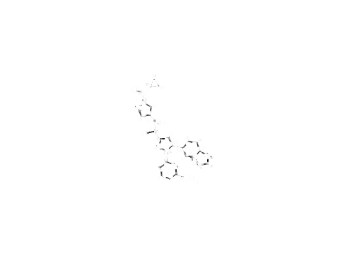 Cc1cccc(-n2nc(C(=O)Nc3cnn([S+]([O-])C4CC4)c3)cc2-c2ccc3ncnn3c2)n1